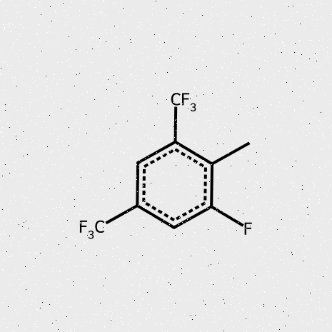 Cc1c(F)cc(C(F)(F)F)cc1C(F)(F)F